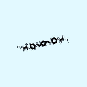 C[C@@H](F)C(=O)O[C@H]1CC[C@H](CCc2ccc(CC[C@H]3CC[C@H](OC(=O)[C@@H](C)F)CC3)cc2)CC1